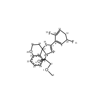 COCC(=O)N1N=C(C2=CC(F)CC=C2F)SC12CCOc1ccccc12